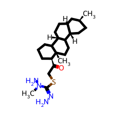 C[C@H]1CC[C@@H]2C3CC[C@@]4(C)C(CCC[C@@H]4C(=O)CS/C(=N/N)N(C)N)[C@@H]3CC[C@@H]2C1